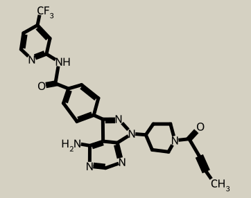 CC#CC(=O)N1CCC(n2nc(-c3ccc(C(=O)Nc4cc(C(F)(F)F)ccn4)cc3)c3c(N)ncnc32)CC1